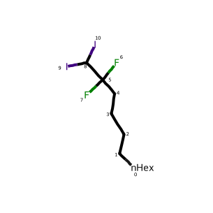 CCCCCCCCCCC(F)(F)C(I)I